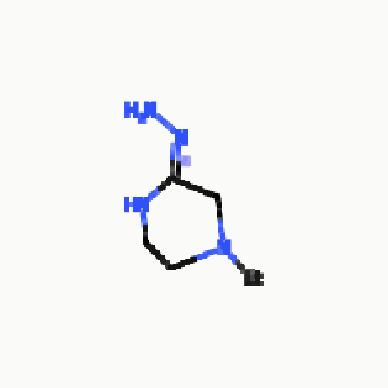 CCN1CCN/C(=N\N)C1